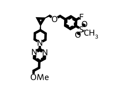 COCCc1cnc(N2CCC([C@H]3C[C@H]3COCc3ccc(S(C)(=O)=O)c(F)c3)CC2)nc1